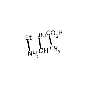 CC(=O)O.CCC(C)O.CCN